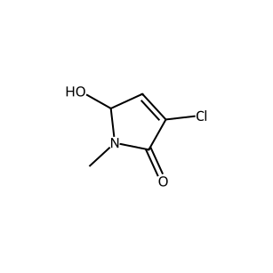 CN1C(=O)C(Cl)=CC1O